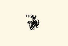 CC(C)(O)c1cn([C@H]2C[C@@H](C(=O)NC3(C(=O)C(N)=O)CCCCC3)N(C(=O)[C@@H](CC3CCCCC3)NC(=O)c3ccc4ccccc4c3)C2)nn1